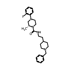 C[C@@H]1CN(c2ccccc2F)CCN1C(=O)NCCC1CCN(Cc2ccccc2)CC1